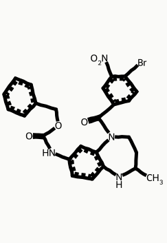 CC1CCN(C(=O)c2ccc(Br)c([N+](=O)[O-])c2)c2cc(NC(=O)OCc3ccccc3)ccc2N1